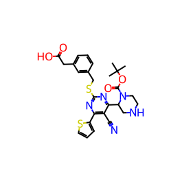 CC(C)(C)OC(=O)N1CCNCC1c1nc(SCc2cccc(CC(=O)O)c2)nc(-c2cccs2)c1C#N